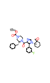 CC(C)(C)OC(=O)N1CCN(C(=O)c2ncn([C@H]3CCCC[C@]34CO4)c2-c2cccc(F)c2)[C@H](Cc2ccccc2)C1